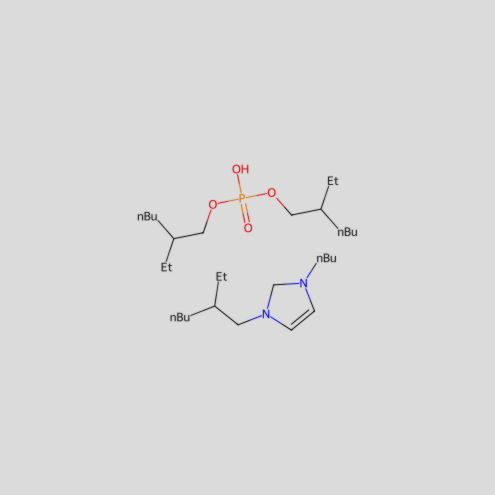 CCCCC(CC)CN1C=CN(CCCC)C1.CCCCC(CC)COP(=O)(O)OCC(CC)CCCC